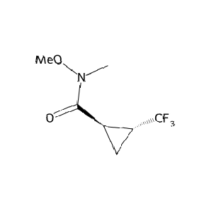 CON(C)C(=O)[C@@H]1C[C@H]1C(F)(F)F